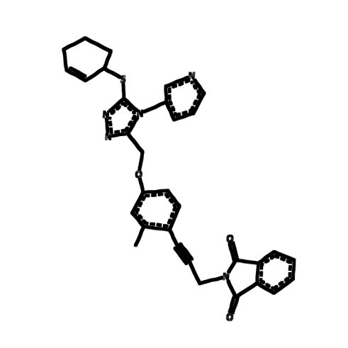 Cc1cc(OCc2nnc(SC3C=CCCC3)n2-c2cccnc2)ccc1C#CCN1C(=O)c2ccccc2C1=O